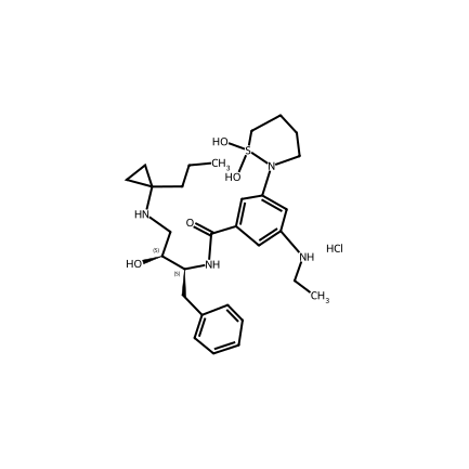 CCCC1(NC[C@H](O)[C@H](Cc2ccccc2)NC(=O)c2cc(NCC)cc(N3CCCCS3(O)O)c2)CC1.Cl